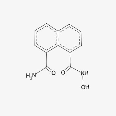 NC(=O)c1cccc2cccc(C(=O)NO)c12